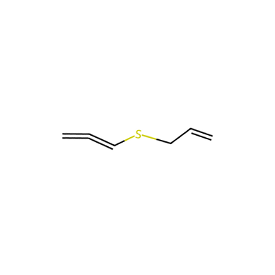 C=C=CSCC=C